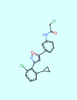 O=C(CCl)Nc1cccc(-c2cc(-c3c(Cl)cccc3C3CC3)no2)c1